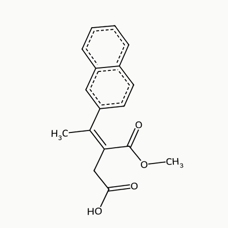 COC(=O)C(CC(=O)O)=C(C)c1ccc2ccccc2c1